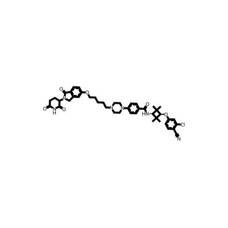 CC1(C)[C@H](NC(=O)c2ccc(N3CCN(CCCCCOc4ccc5c(c4)CN(C4CCC(=O)NC4=O)C5=O)CC3)cc2)C(C)(C)[C@H]1Oc1ccc(C#N)c(Cl)c1